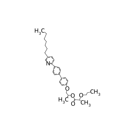 CCCCCCCc1ccc(-c2ccc(-c3ccc(OC[C@H](C)OC(=O)C(C)OCCC)cc3)cc2)nc1